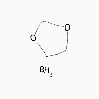 B.C1COCO1